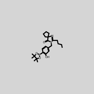 CCCCC1=NC2(CCCC2)C(=O)N1Cc1ccc(B2OC(C)(C)C(C)(C)O2)c(O)c1